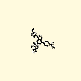 C=Cc1nnc(-n2ncc3c(N4CCN(C(=O)C(C)C)CC4)cc(S(=O)(=O)NC4(C)COC4)cc32)s1